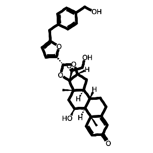 C[C@]12C=CC(=O)C=C1CC[C@@H]1[C@@H]2[C@@H](O)C[C@@]2(C)[C@H]1C[C@H]1O[C@@H](c3ccc(Cc4ccc(CO)cc4)o3)O[C@]12C(=O)CO